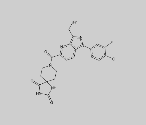 CC(C)Cc1nn(-c2ccc(Cl)c(F)c2)c2ccc(C(=O)N3CCC4(CC3)NC(=O)NC4=O)nc12